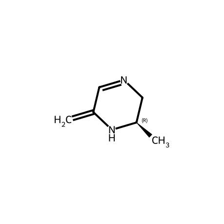 C=C1C=NC[C@@H](C)N1